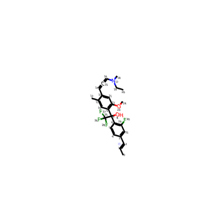 C/C=C/c1ccc(C(O)(c2cc(C)c(C=C=CN(C)CC)cc2OC)C(F)(F)F)c(F)c1